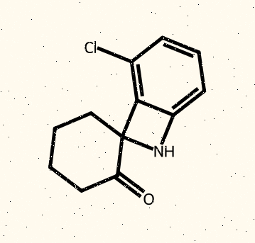 O=C1CCCCC12Nc1cccc(Cl)c12